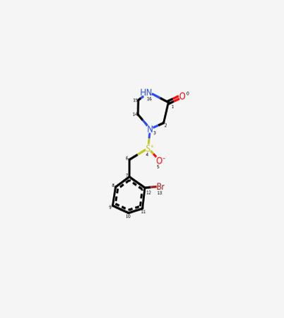 O=C1CN([S+]([O-])Cc2ccccc2Br)CCN1